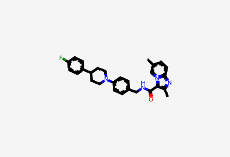 Cc1ccc2nc(C)c(C(=O)NCc3ccc(N4CCC(c5ccc(F)cc5)CC4)cc3)n2c1